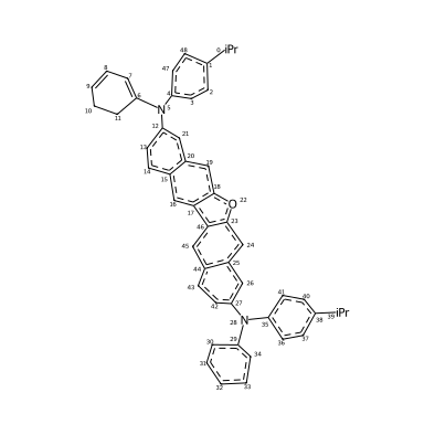 CC(C)c1ccc(N(C2=CC=CCC2)c2ccc3cc4c(cc3c2)oc2cc3cc(N(c5ccccc5)c5ccc(C(C)C)cc5)ccc3cc24)cc1